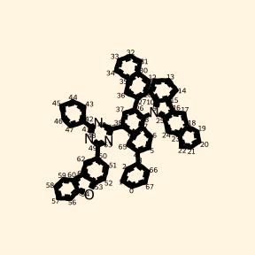 c1ccc(-c2ccc3c(-n4c5ccccc5c5cc6ccccc6cc54)c(-c4ccc5ccccc5c4)cc(-c4nc(-c5ccccc5)nc(-c5ccc6oc7ccccc7c6c5)n4)c3c2)cc1